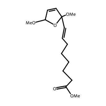 COC(=O)CCCCCC=CC1(OC)C=CC(OC)O1